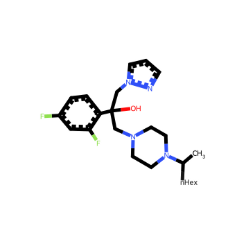 CCCCCCC(C)N1CCN(CC(O)(Cn2cccn2)c2ccc(F)cc2F)CC1